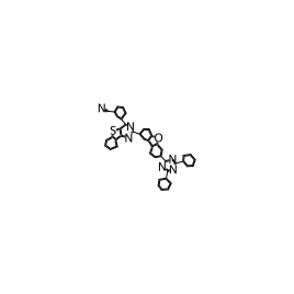 N#Cc1cccc(-c2nc(-c3ccc4oc5cc(-c6nc(-c7ccccc7)nc(-c7ccccc7)n6)ccc5c4c3)nc3c2sc2ccccc23)c1